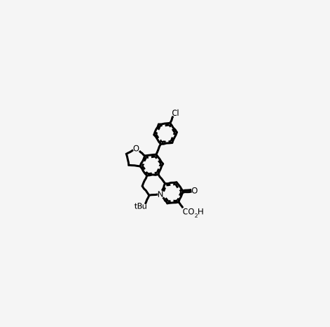 CC(C)(C)C1Cc2c(cc(-c3ccc(Cl)cc3)c3c2CCO3)-c2cc(=O)c(C(=O)O)cn21